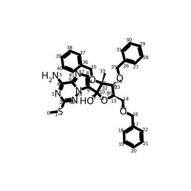 CSc1nc(N)c2ncc(C3(O)O[C@H](COCc4ccccc4)[C@@H](OCc4ccccc4)[C@@]3(C)OCc3ccccc3)n2n1